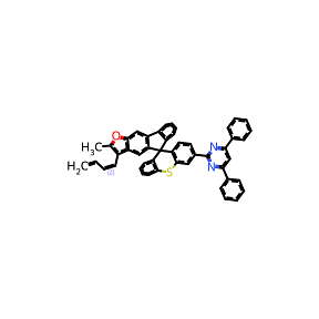 C=C/C=C\c1c(C)oc2cc3c(cc12)C1(c2ccccc2Sc2cc(-c4nc(-c5ccccc5)cc(-c5ccccc5)n4)ccc21)c1ccccc1-3